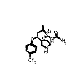 CC(C[C@H](Oc1ccc(C(F)(F)F)cc1)[C@H]1CCNC1)S(=O)(=O)NC(N)=O